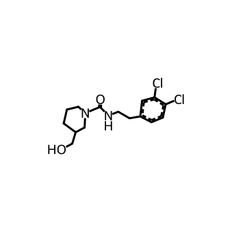 O=C(NCCc1ccc(Cl)c(Cl)c1)N1CCCC(CO)C1